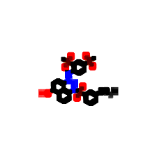 CS(=O)(=O)c1ccc(N=Nc2ccc(O)c3cccc(NS(=O)(=O)c4cccc(S(=O)(=O)O)c4)c23)c(S(C)(=O)=O)c1